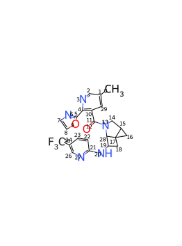 Cc1cnc(-c2ncco2)c(C(=O)N2CC3CC34CC(Nc3ccc(C(F)(F)F)cn3)C24)c1